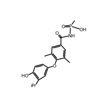 Cc1cc(C(=O)NP(C)(=O)O)cc(C)c1Oc1ccc(O)c(C(C)C)c1